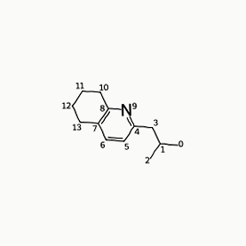 CC(C)Cc1ccc2c(n1)CCCC2